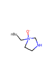 CCCCC[N+]1([O-])CCNC1